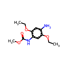 CCOc1cc(NC(=O)OC)c(OCC)cc1N